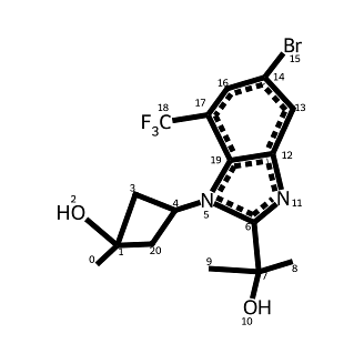 CC1(O)CC(n2c(C(C)(C)O)nc3cc(Br)cc(C(F)(F)F)c32)C1